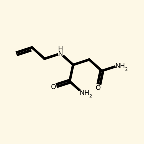 C=CCNC(CC(N)=O)C(N)=O